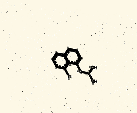 CCc1cccc2cccc(OB(O)O)c12